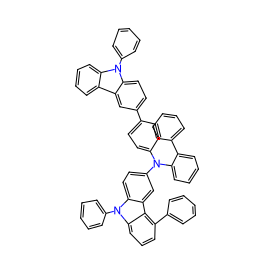 c1c(-c2ccc3c(c2)c2ccccc2n3-c2ccccc2)ccc(N(c2ccc3c(c2)c2c(-c4ccccc4)cccc2n3-c2ccccc2)c2ccccc2C2=CC=CCC2)c#1